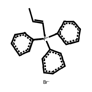 CC=C[P+](c1ccccc1)(c1ccccc1)c1ccccc1.[Br-]